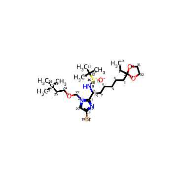 CCC1(CCCCC[C@H](N[S@+]([O-])C(C)(C)C)c2nc(Br)cn2COCC[Si](C)(C)C)OCCO1